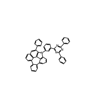 c1ccc(-c2nc(-c3ccccc3)nc(-c3cccc(-n4c5cccc6c5c5c7c(cccc7cc(-c7ccccc7)c54)-c4ccccc4-6)c3)n2)cc1